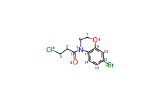 O=C(CCCl)N1CCOc2cc(Br)ccc21